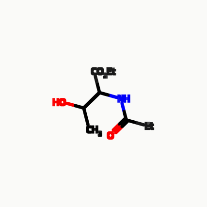 CCOC(=O)C(NC(=O)CC)C(C)O